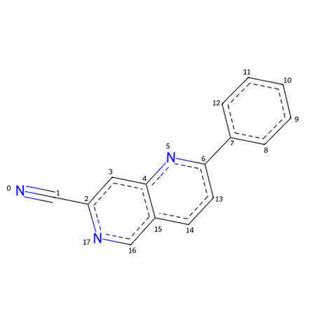 N#Cc1cc2nc(-c3ccccc3)ccc2cn1